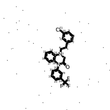 O=C1CN(CCc2cccc(Cl)c2)c2ccccc2N1c1cccc(C(F)(F)F)c1